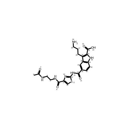 CC(=O)NCCNC(=O)c1csc(NC(=O)c2ccc3[nH]c(C(=O)O)c(CCCN)c3c2)n1